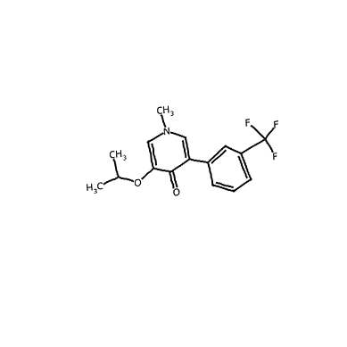 CC(C)Oc1cn(C)cc(-c2cccc(C(F)(F)F)c2)c1=O